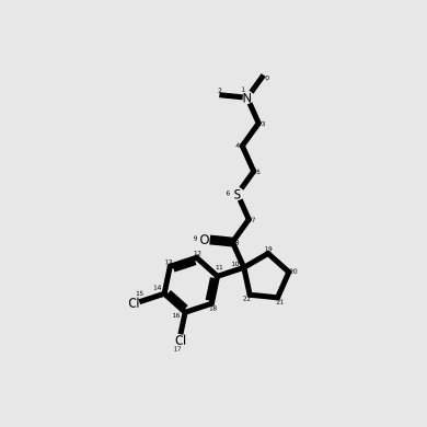 CN(C)CCCSCC(=O)C1(c2ccc(Cl)c(Cl)c2)CCCC1